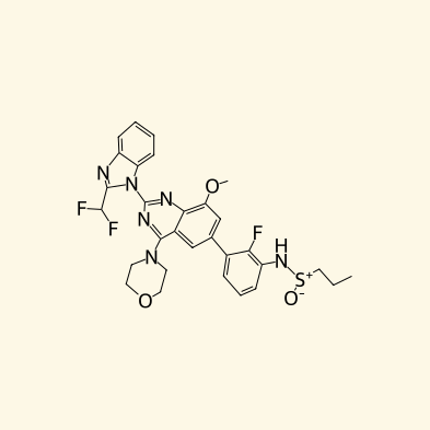 CCC[S+]([O-])Nc1cccc(-c2cc(OC)c3nc(-n4c(C(F)F)nc5ccccc54)nc(N4CCOCC4)c3c2)c1F